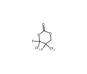 O=C1OCC(F)(C(F)(F)F)C(F)(C(F)(F)F)O1